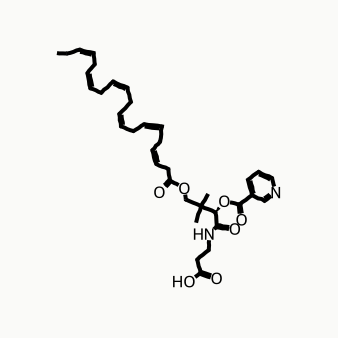 CC/C=C\C/C=C\C/C=C\C/C=C\C/C=C\C/C=C\CC(=O)OCC(C)(C)[C@@H](OC(=O)c1cccnc1)C(=O)NCCC(=O)O